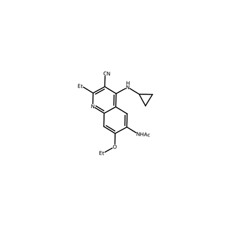 CCOc1cc2nc(CC)c(C#N)c(NC3CC3)c2cc1NC(C)=O